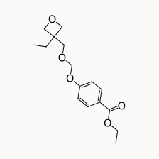 CCOC(=O)c1ccc(OCOCC2(CC)COC2)cc1